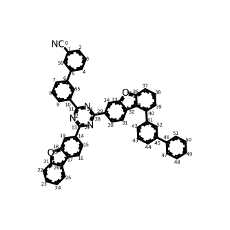 N#Cc1cccc(-c2cccc(-c3nc(-c4ccc5c(c4)oc4ccccc45)nc(-c4ccc5c(c4)oc4cccc(-c6cccc(-c7ccccc7)c6)c45)n3)c2)c1